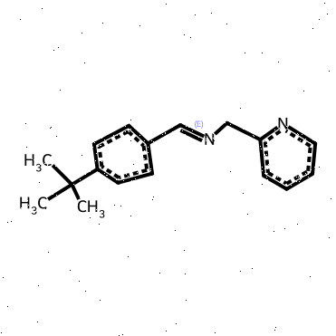 CC(C)(C)c1ccc(/C=N/Cc2ccccn2)cc1